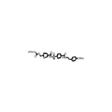 CCCCCC(=O)OCc1ccc(C(=O)NS(=O)(=O)c2ccc(C(=O)NCCc3ccc(OC)cc3)cc2)cn1